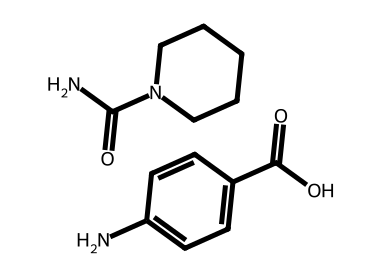 NC(=O)N1CCCCC1.Nc1ccc(C(=O)O)cc1